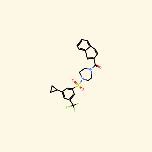 O=C(c1ccc2ccccc2c1)N1CCN(S(=O)(=O)c2cc(C3CC3)cc(C(F)(F)F)c2)CC1